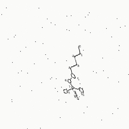 CCCCCOOP(=S)(Cl)Cl